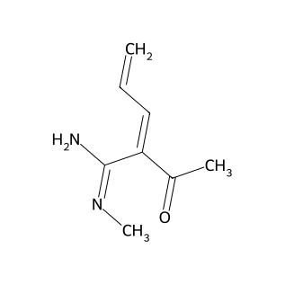 C=C/C=C(C(C)=O)\C(N)=N/C